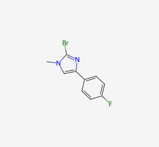 Cn1cc(-c2ccc(F)cc2)nc1Br